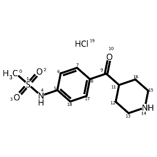 CS(=O)(=O)Nc1ccc(C(=O)C2CCNCC2)cc1.Cl